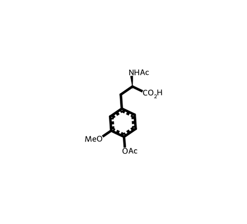 COc1cc(C[C@@H](NC(C)=O)C(=O)O)ccc1OC(C)=O